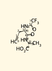 C#CC[C@@H](NC(=O)C(F)(F)F)C(=O)N[C@H](C)C(=O)O